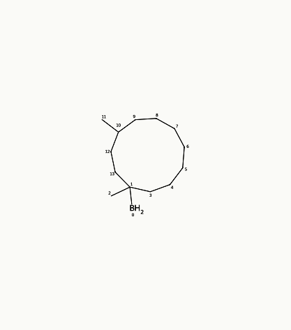 BC1(C)CCCCCCCC(C)CC1